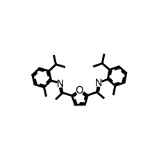 CC(=Nc1c(C)cccc1C(C)C)c1ccc(C(C)=Nc2c(C)cccc2C(C)C)o1